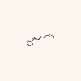 CC=CC=[CH][Mo][C]1=CC=CC1